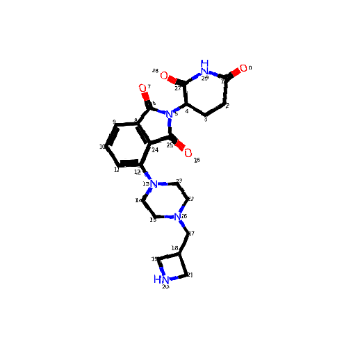 O=C1CCC(N2C(=O)c3cccc(N4CCN(CC5CNC5)CC4)c3C2=O)C(=O)N1